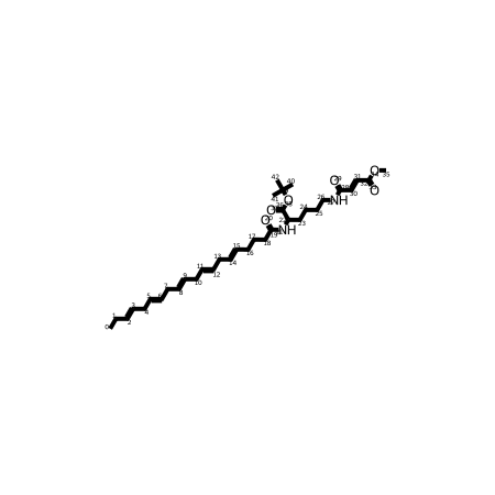 CCC=CCC=CCC=CCC=CCC=CCCCC(=O)NC(CCCCNC(=O)C=CC(=O)OC)C(=O)OC(C)(C)C